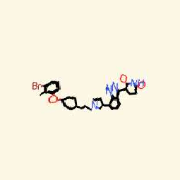 Cc1c(Br)cccc1OC1CCC(CCCN2CCC(c3cccc4c(C5CCC(=O)NC5=O)nn(C)c34)C2)CC1